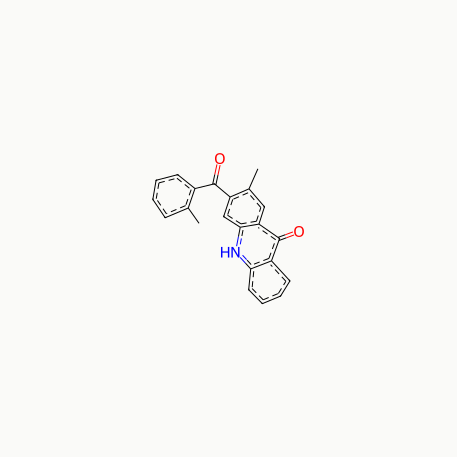 Cc1ccccc1C(=O)c1cc2[nH]c3ccccc3c(=O)c2cc1C